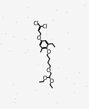 CCOC(COCCCCOc1c(C)cc(OCC=C(Cl)Cl)cc1CC)OCC